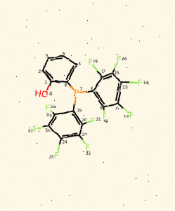 Oc1ccccc1P(c1c(F)c(F)c(F)c(F)c1F)c1c(F)c(F)c(F)c(F)c1F